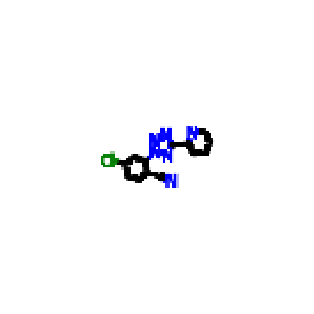 N#Cc1ccc(Cl)cc1-n1nnc(-c2ccccn2)n1